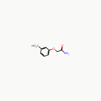 NC(=O)COc1cccc(C(=O)O)c1